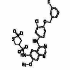 CCOc1cc2ncnc(Nc3ccc(OCc4cccc(F)c4)c(Cl)c3)c2cc1NS(=O)(=O)C1CSS(=O)(=O)C1